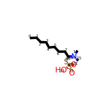 CCCCCCCCC(SS(=O)(=O)O)N(C)C